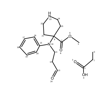 CCC(=O)O.COC(=O)C1(N(CCC=O)c2ccccc2)CCNCC1